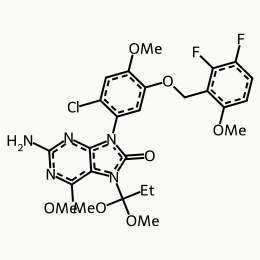 CCC(OC)(OC)n1c(=O)n(-c2cc(OCc3c(OC)ccc(F)c3F)c(OC)cc2Cl)c2nc(N)nc(OC)c21